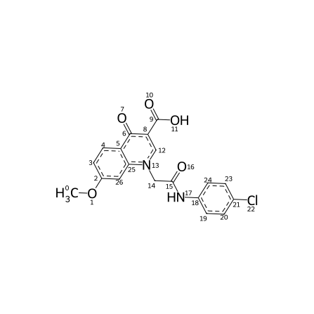 COc1ccc2c(=O)c(C(=O)O)cn(CC(=O)Nc3ccc(Cl)cc3)c2c1